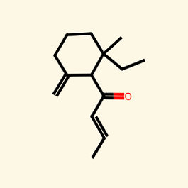 C=C1CCCC(C)(CC)C1C(=O)/C=C/C